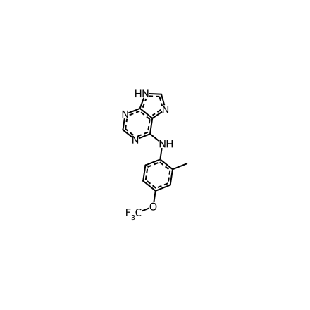 Cc1cc(OC(F)(F)F)ccc1Nc1ncnc2[nH]cnc12